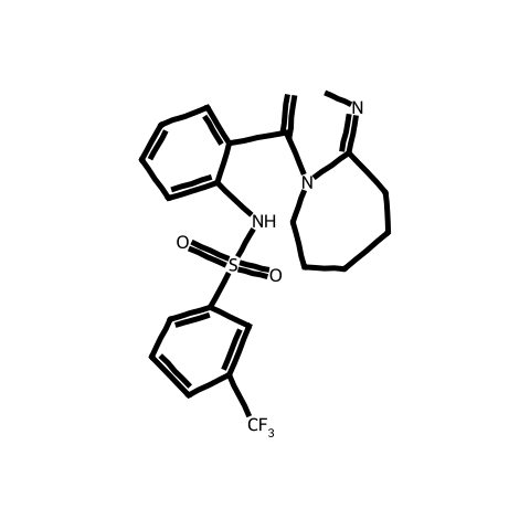 C=C(c1ccccc1NS(=O)(=O)c1cccc(C(F)(F)F)c1)N1CCCCC/C1=N/C